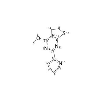 COc1nc(-c2ccccn2)nc2c1CCS2